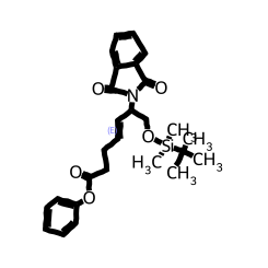 CC(C)(C)[Si](C)(C)OCC(/C=C/CCC(=O)Oc1ccccc1)N1C(=O)c2ccccc2C1=O